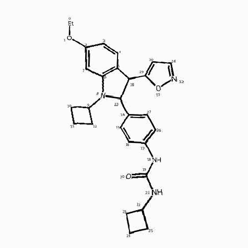 CCOc1ccc2c(c1)N(C1CCC1)C(c1ccc(NC(=O)NC3CCC3)cc1)C2c1ccno1